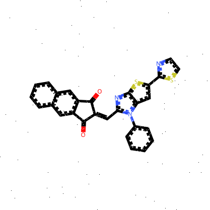 O=C1C(=Cc2nc3sc(-c4nccs4)cc3n2-c2ccccc2)C(=O)c2cc3ccccc3cc21